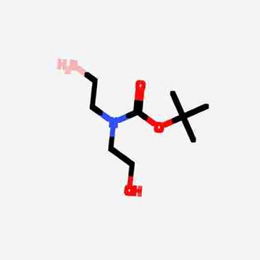 BCCN(CCO)C(=O)OC(C)(C)C